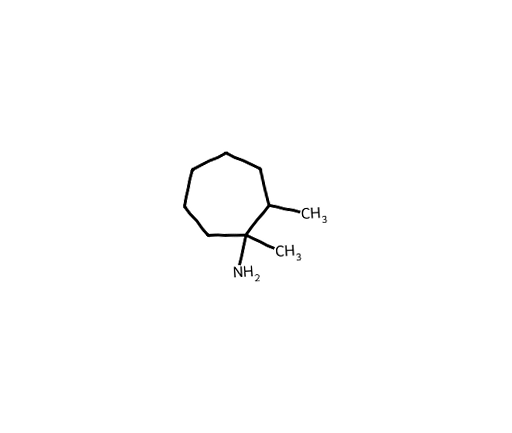 CC1CCCCCC1(C)N